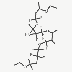 CCOC(C)CC(F)(F)OC1(C)NC1(F)C(F)(F)OC(C)C(C)C(F)(F)OC(C)(C)C(F)(F)CC(C)(C)OCC